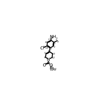 Cc1cc(C2=CCN(C(=O)OC(C)(C)C)CC2)c(Cl)cc1N